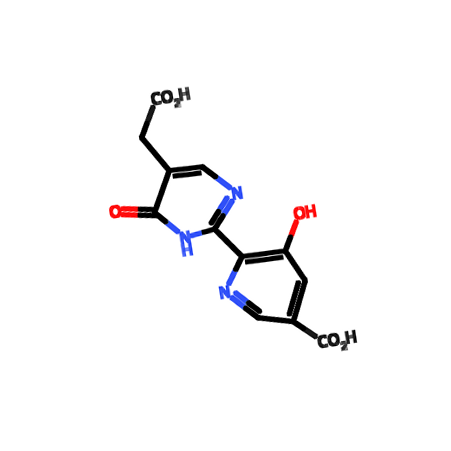 O=C(O)Cc1cnc(-c2ncc(C(=O)O)cc2O)[nH]c1=O